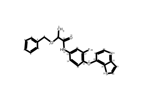 CC(OCc1ccccc1)C(=O)Nc1ccc(Oc2ccnc3ccsc23)c(F)c1